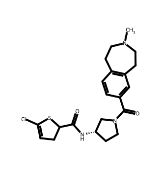 CN1CCc2ccc(C(=O)N3CC[C@H](NC(=O)C4CC=C(Cl)S4)C3)cc2CC1